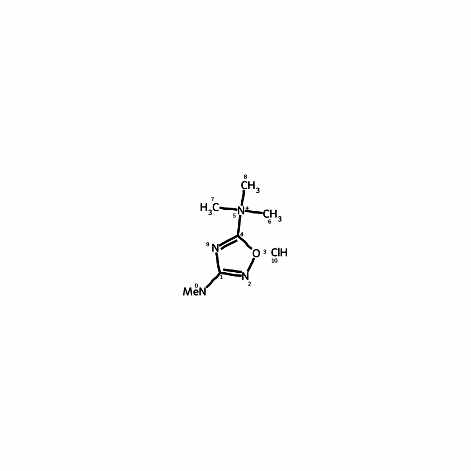 CNc1noc([N+](C)(C)C)n1.Cl